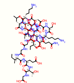 CC[C@H](C)[C@H](NC(=O)CNC(=O)CNC(=O)[C@H](CCC(N)=O)NC(=O)[C@H](CC(C)C)NC(=O)[C@H](CC(C)C)NC(=O)[C@H](CCCCN)NC(=O)[C@H](CC(=O)O)NC(=O)[C@H](CC(C)C)NC(=O)[C@H](CCC(=O)O)NC(=O)[C@H](CCCCN)NC(=O)[C@H](CO)NC(=O)CNC(=O)[C@@H](NC(=O)[C@@H](NC(=O)[C@@H](NC(=O)[C@@H](N)CCC(N)=O)[C@@H](C)CC)[C@@H](C)O)[C@@H](C)O)C(=O)N[C@@H](CCC(=O)O)C(=O)N[C@H](C(=O)NCC(=O)O)[C@@H](C)O